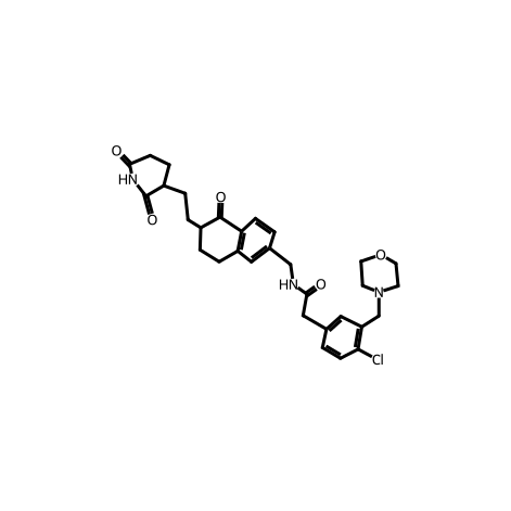 O=C(Cc1ccc(Cl)c(CN2CCOCC2)c1)NCc1ccc2c(c1)CCC(CCC1CCC(=O)NC1=O)C2=O